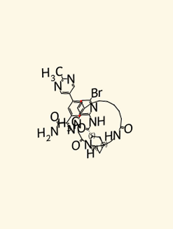 Cc1ncc(-c2cc3c4c(c2)c(C(N)=O)nn4CC(=O)N2[C@H](C(=O)Nc4nc(Br)ccc4C)C[C@@]4(CNC(=O)CCCCCC3)C[C@@H]24)cn1